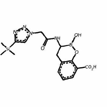 C[Si](C)(C)c1cn(CC(=O)NC2Cc3cccc(C(=O)O)c3OB2O)nn1